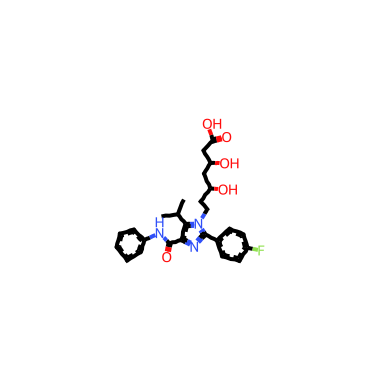 CC(C)c1c(C(=O)Nc2ccccc2)nc(-c2ccc(F)cc2)n1CCC(O)CC(O)CC(=O)O